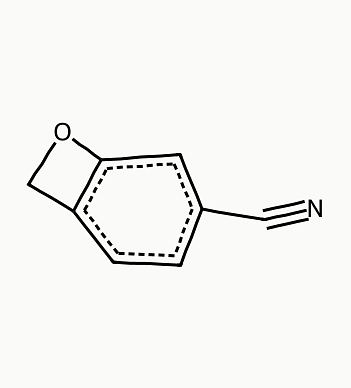 N#Cc1ccc2c(c1)OC2